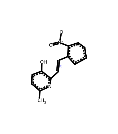 Cc1ccc(O)c(/C=C/c2ccccc2[N+](=O)[O-])n1